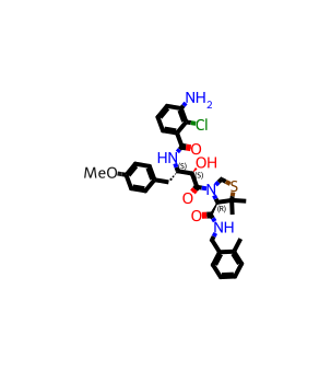 COc1ccc(C[C@H](NC(=O)c2cccc(N)c2Cl)[C@H](O)C(=O)N2CSC(C)(C)[C@H]2C(=O)NCc2ccccc2C)cc1